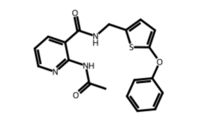 CC(=O)Nc1ncccc1C(=O)NCc1ccc(Oc2ccccc2)s1